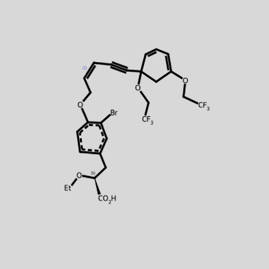 CCO[C@@H](Cc1ccc(OC/C=C\C#CC2(OCC(F)(F)F)C=CC=C(OCC(F)(F)F)C2)c(Br)c1)C(=O)O